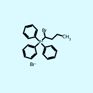 CCCC(Br)[P+](c1ccccc1)(c1ccccc1)c1ccccc1.[Br-]